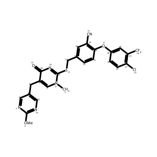 COc1ncc(Cc2cn(C)c(SCc3ccc(Oc4ccc(Cl)c(C(F)(F)F)c4)c(C#N)c3)nc2=O)cn1